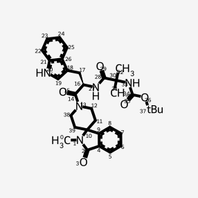 CN1C(=O)c2ccccc2C12CCN(C(=O)[C@@H](Cc1c[nH]c3ccccc13)NC(=O)C(C)(C)NC(=O)OC(C)(C)C)CC2